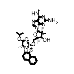 CNc1nc(N)nc2c1ncn2[C@@H]1O[C@](F)(COP(=S)(N[C@H](C)C(=O)OC(C)C)Oc2cccc3ccccc23)[C@@H](O)[C@@]1(C)F